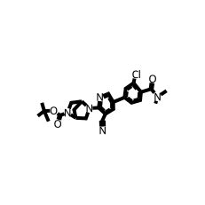 CN(C)C(=O)c1ccc(-c2cnc(N3CC4CC3CN4C(=O)OC(C)(C)C)c(C#N)c2)cc1Cl